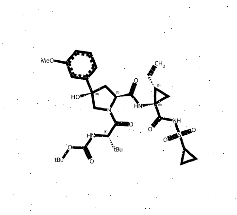 C=C[C@@H]1C[C@]1(NC(=O)[C@@H]1C[C@@](O)(c2cccc(OC)c2)CN1C(=O)[C@@H](NC(=O)OC(C)(C)C)C(C)(C)C)C(=O)NS(=O)(=O)C1CC1